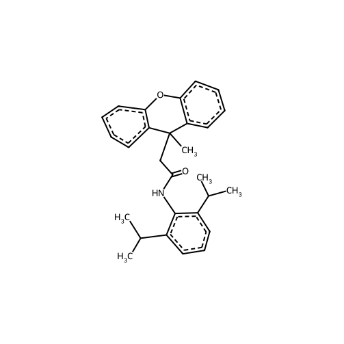 CC(C)c1cccc(C(C)C)c1NC(=O)CC1(C)c2ccccc2Oc2ccccc21